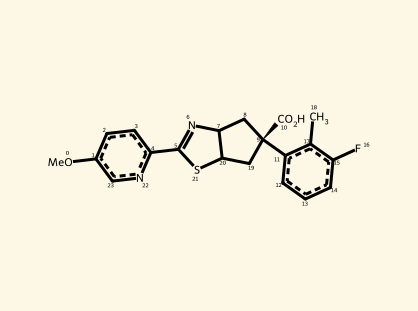 COc1ccc(C2=NC3C[C@](C(=O)O)(c4cccc(F)c4C)CC3S2)nc1